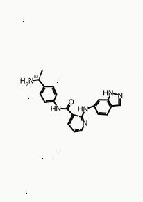 C[C@H](N)c1ccc(NC(=O)c2cccnc2Nc2ccc3cn[nH]c3c2)cc1